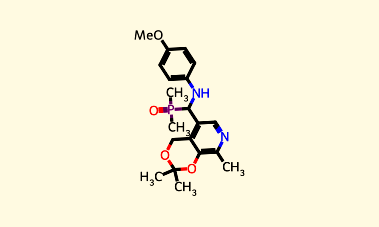 COc1ccc(NC(c2cnc(C)c3c2COC(C)(C)O3)P(C)(C)=O)cc1